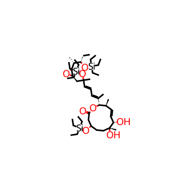 CC[C@H](O[Si](CC)(CC)CC)[C@@H](C)[C@H]1O[C@@H]1CC(C)(/C=C/C=C(\C)[C@H]1OC(=O)C[C@H](O[Si](CC)(CC)CC)CC[C@@](C)(O)[C@@H](O)/C=C/[C@@H]1C)O[Si](CC)(CC)CC